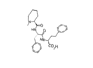 CN1CCCC[C@H]1C(=O)N[C@@H](Cc1ccccc1)C(=O)N[C@@H](CCc1ccccc1)C(=O)O